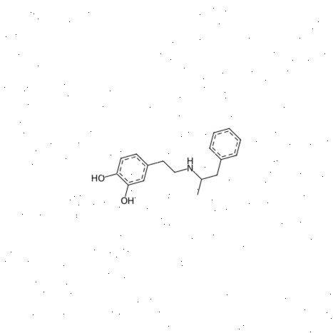 CC(Cc1ccccc1)NCCc1ccc(O)c(O)c1